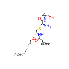 CCCCCCCCCCCCCCCCOC[C@H](CSC[C@H](N)C(=O)NC1(CO)CC1)NC(=O)CCCCCCCCCCC